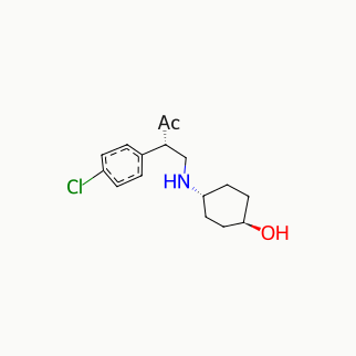 CC(=O)[C@H](CN[C@H]1CC[C@H](O)CC1)c1ccc(Cl)cc1